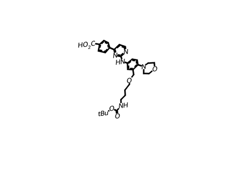 CC(C)(C)OC(=O)NCCCCOCc1cc(Nc2nccc(-c3ccc(C(=O)O)cc3)n2)ccc1N1CCOCC1